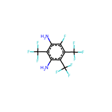 Nc1c(F)c(C(F)(F)F)c(C(F)(F)F)c(N)c1C(F)(F)F